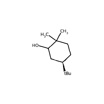 CC1(C)CC[C@@H](C(C)(C)C)CC1O